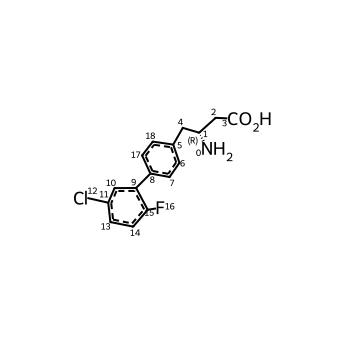 N[C@@H](CC(=O)O)Cc1ccc(-c2cc(Cl)ccc2F)cc1